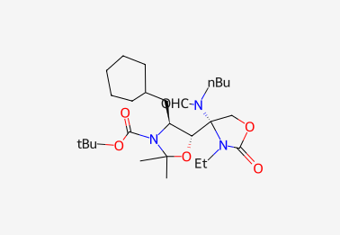 CCCCN(C=O)[C@]1([C@@H]2OC(C)(C)N(C(=O)OC(C)(C)C)[C@H]2CC2CCCCC2)COC(=O)N1CC